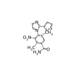 Cc1cc(C(N)=O)c(C)c([N+](=O)[O-])c1-n1ccnc1-c1ccsc1